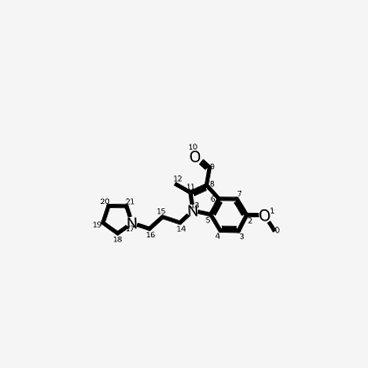 COc1ccc2c(c1)c(C=O)c(C)n2CCCN1CCCC1